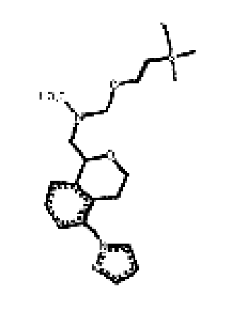 C[Si](C)(C)CCOCN(CC1OCCc2c1cccc2-n1cccn1)C(=O)O